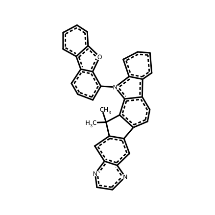 CC1(C)c2cc3nccnc3cc2-c2ccc3c4ccccc4n(-c4cccc5c4oc4ccccc45)c3c21